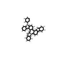 c1ccc(-n2c3ccccc3c3c4c(ccc32)c2c3sc5ccccc5c3ccc2n2c3ccccc3nc42)cc1